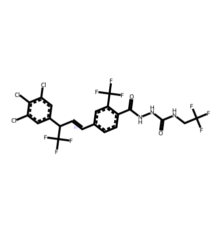 O=C(NCC(F)(F)F)NNC(=O)c1ccc(/C=C/C(c2cc(Cl)c(Cl)c(Cl)c2)C(F)(F)F)cc1C(F)(F)F